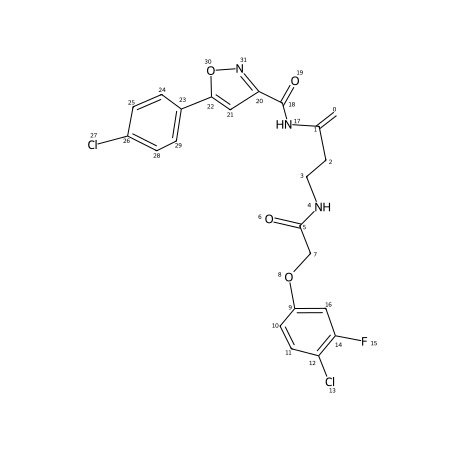 C=C(CCNC(=O)COc1ccc(Cl)c(F)c1)NC(=O)c1cc(-c2ccc(Cl)cc2)on1